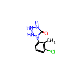 Cc1c(Cl)cccc1N1NNNC1=O